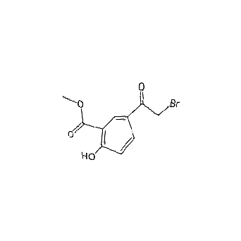 COC(=O)c1cc(C(=O)CBr)ccc1O